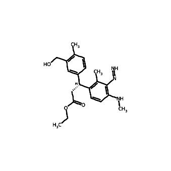 CCOC(=O)C[C@H](c1ccc(C)c(CO)c1)c1ccc(NC)c(N=N)c1C